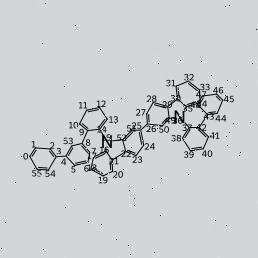 c1ccc(-c2cccc(-c3ccccc3-n3c4ccccc4c4ccc(-c5ccc6c7ccccc7n(-c7ccccc7-c7ccccc7)c6c5)cc43)c2)cc1